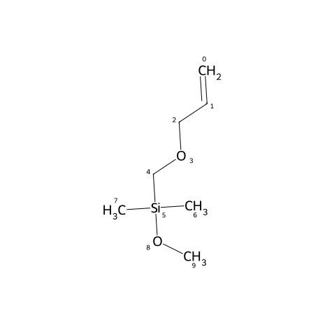 C=CCOC[Si](C)(C)OC